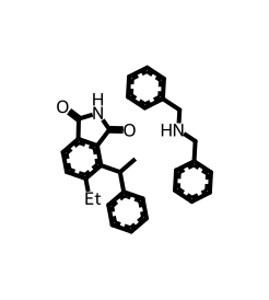 CCc1ccc2c(c1C(C)c1ccccc1)C(=O)NC2=O.c1ccc(CNCc2ccccc2)cc1